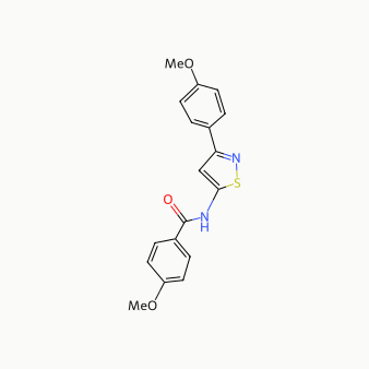 COc1ccc(C(=O)Nc2cc(-c3ccc(OC)cc3)ns2)cc1